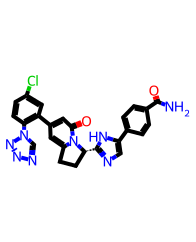 NC(=O)c1ccc(-c2cnc([C@@H]3CCc4cc(-c5cc(Cl)ccc5-n5cnnn5)cc(=O)n43)[nH]2)cc1